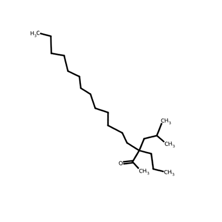 CCCCCCCCCCCCCC(CCC)(CC(C)C)C(C)=O